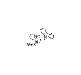 CSN(CC(O)Cn1c2ccccc2c2ccccc21)C1CCC(C)(C)CC1